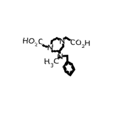 CN(Cc1ccccc1)C1CN(CC(=O)O)CCN(CC(=O)O)C1